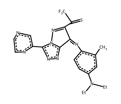 CCN(CC)c1ccc(/N=C2/C(C(=S)C(F)(F)F)=Nn3c2nnc3-c2cnccn2)c(C)c1